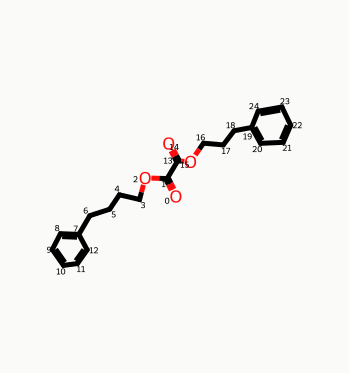 O=C(OCCCCc1ccccc1)C(=O)OCCCc1ccccc1